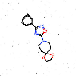 c1ccc(-c2noc(N3CCC4(CC3)OCCO4)n2)cc1